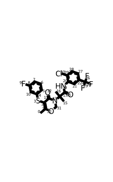 CC1=C(Sc2cccc(F)c2)C(=O)N(C(C)(C)C(=O)Nc2cc(C(F)(F)F)ccc2Cl)CO1